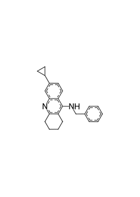 c1ccc(CNc2c3c(nc4cc(C5CC5)ccc24)CCCC3)cc1